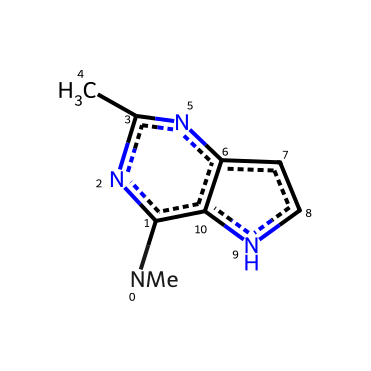 CNc1nc(C)nc2cc[nH]c12